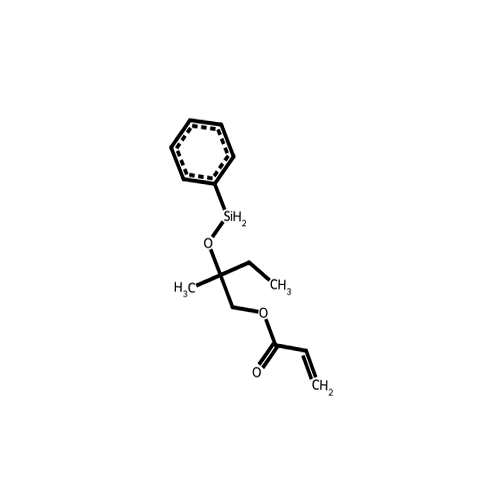 C=CC(=O)OCC(C)(CC)O[SiH2]c1ccccc1